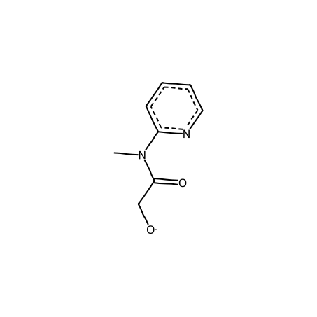 CN(C(=O)C[O])c1ccccn1